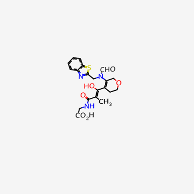 C/C(C(=O)NCC(=O)O)=C(/O)C1=C(N(C=O)Cc2nc3ccccc3s2)COCC1